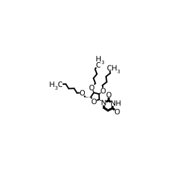 CCCCCOC[C@H]1O[C@@H](n2ccc(=O)[nH]c2=O)[C@H](OCCCCC)[C@@H]1OCCCCC